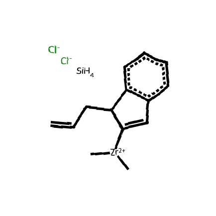 C=CCC1[C]([Zr+2]([CH3])[CH3])=Cc2ccccc21.[Cl-].[Cl-].[SiH4]